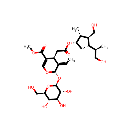 C/C=C1/[C@H](O[C@@H]2O[C@H](CO)[C@@H](O)[C@H](O)[C@H]2O)OC=C(C(=O)OC)[C@H]1CC(=O)O[C@H]1C[C@@H]([C@@H](C)CO)[C@H](CO)[C@H]1C